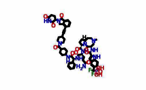 CN1CC[C@H]2CC[C@@H](C(=O)N[C@@H](CCC(N)=O)C(=O)N[C@H](C(=O)NC3CCC(C(=O)N4CCC(C#Cc5cccc6c5CN(C5CCC(=O)NC5=O)C6=O)CC4)CC3)c3ccccc3)N2C(=O)[C@@H](NC(=O)c2cc3cc(C(F)(F)P(=O)(O)O)ccc3[nH]2)C1